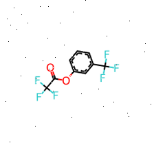 O=C(Oc1cccc(C(F)(F)F)c1)C(F)(F)F